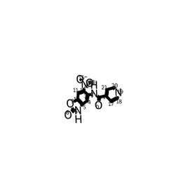 O=C(Nc1cc2[nH]c(=O)oc2cc1[N+](=O)[O-])c1ccncc1